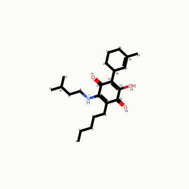 CCCCCC1=C(NCCC(C)C)C(=O)C(C2C=C(C)CCC2)=C(O)C1=O